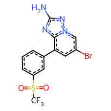 Nc1nc2c(-c3cccc(S(=O)(=O)C(F)(F)F)c3)cc(Br)cn2n1